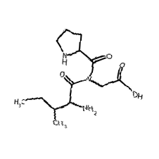 CCC(C)C(N)C(=O)N(CC(=O)O)C(=O)C1CCCN1